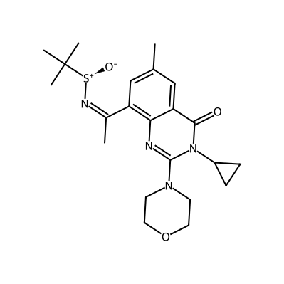 C/C(=N/[S@+]([O-])C(C)(C)C)c1cc(C)cc2c(=O)n(C3CC3)c(N3CCOCC3)nc12